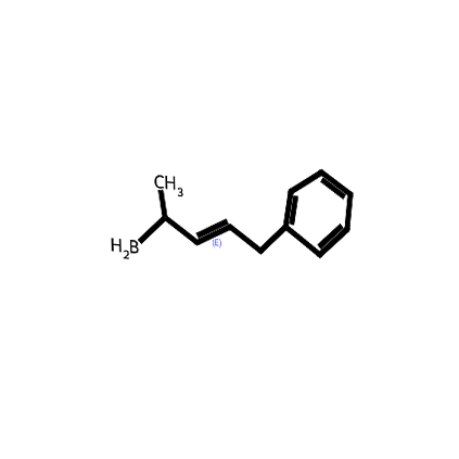 BC(C)/C=C/Cc1ccccc1